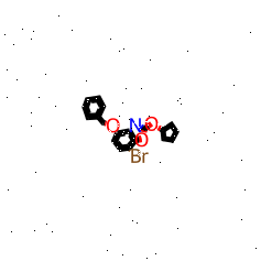 Brc1ccc(OCc2ccccc2)c2nc(OC3CCCC3)oc12